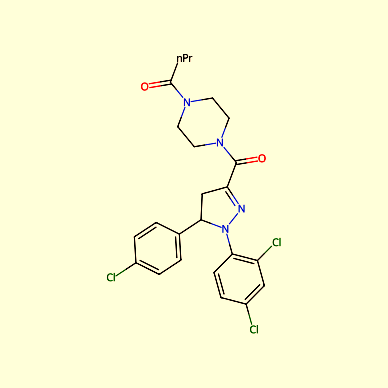 CCCC(=O)N1CCN(C(=O)C2=NN(c3ccc(Cl)cc3Cl)C(c3ccc(Cl)cc3)C2)CC1